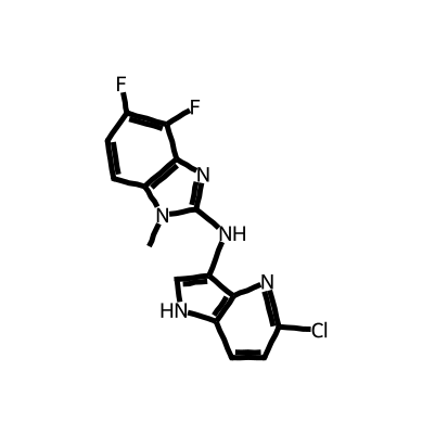 Cn1c(Nc2c[nH]c3ccc(Cl)nc23)nc2c(F)c(F)ccc21